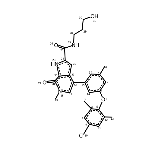 Cc1cc(Oc2c(C)cc(Cl)cc2C)cc(-c2cn(C)c(=O)c3[nH]c(C(=O)NCCCO)cc23)c1